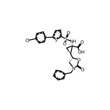 O=C1O[C@@H]([C@H]2C[C@@]2(NS(=O)(=O)c2ccc(-c3ccc(Cl)cc3)s2)C(=O)O)CN1Cc1ccccc1